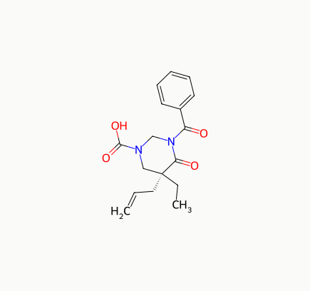 C=CC[C@]1(CC)CN(C(=O)O)CN(C(=O)c2ccccc2)C1=O